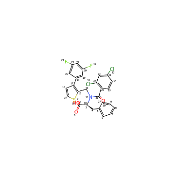 O=C(O)[C@H](Cc1ccccc1)N(Cc1sccc1-c1cc(F)cc(F)c1)C(=O)c1ccc(Cl)cc1Cl